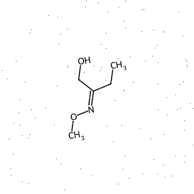 CC/C(CO)=N/OC